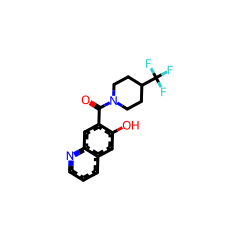 O=C(c1cc2ncccc2cc1O)N1CCC(C(F)(F)F)CC1